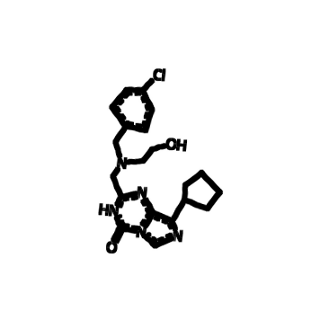 O=c1[nH]c(CN(CCO)Cc2ccc(Cl)cc2)nc2c(C3CCCC3)ncn12